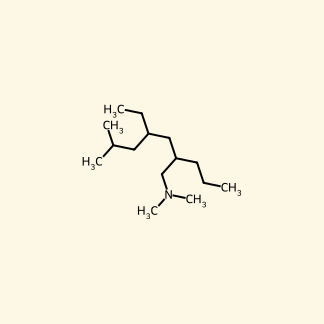 CCCC(CC(CC)CC(C)C)CN(C)C